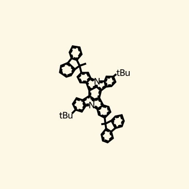 CC(C)(C)c1ccc2c3c4c5ccc(C6(C)c7ccccc7-c7ccccc76)cc5n5c6cc(C(C)(C)C)ccc6c(c6c7ccc(C8(C)c9ccccc9-c9ccccc98)cc7n(c2c1)c36)c45